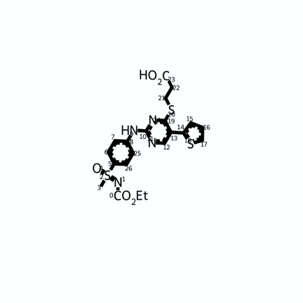 CCOC(=O)N=S(C)(=O)c1ccc(Nc2ncc(-c3cccs3)c(SCCC(=O)O)n2)cc1